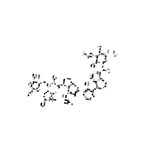 COc1nc(-c2cccc(-c3cccc(NC(=O)c4cn(C)c(=O)n(C)c4=O)c3C)c2Cl)cc2c1C(N(CC1CCC(=O)N1)C(=O)OCc1oc(=O)oc1C)CC2